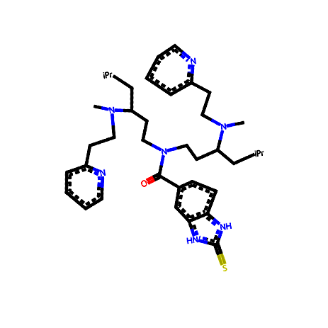 CC(C)CC(CCN(CCC(CC(C)C)N(C)CCc1ccccn1)C(=O)c1ccc2[nH]c(=S)[nH]c2c1)N(C)CCc1ccccn1